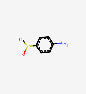 CC(C)[S+]([O-])c1ccc(N)cc1